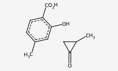 CC1CC1=O.Cc1ccc(C(=O)O)c(O)c1